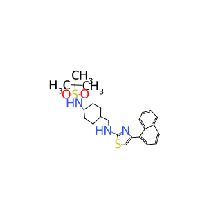 CC(C)(C)S(=O)(=O)NC1CCC(CNc2nc(-c3cccc4ccccc34)cs2)CC1